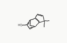 CC1(C)C=CC2=C1C1=CC(O)=C2C1